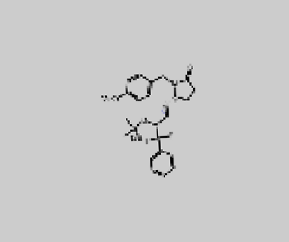 COc1ccc(CN2C(=O)CC[C@@H]2/C=C/C(O[Si](C)(C)C(C)(C)C)C(F)(F)c2ccccc2)cc1